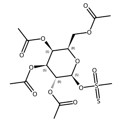 CC(=O)OC[C@H]1O[C@@H](OS(C)(=O)=S)[C@H](OC(C)=O)[C@@H](OC(C)=O)[C@H]1OC(C)=O